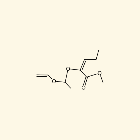 C=COC(C)OC(=CCC)C(=O)OC